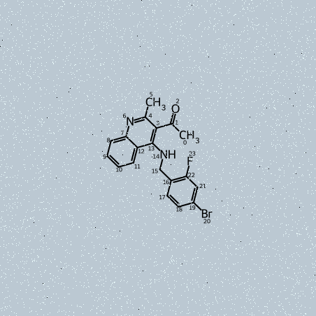 CC(=O)c1c(C)nc2ccccc2c1NCc1ccc(Br)cc1F